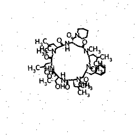 CC(C)C[C@H]1CN(C)[C@@H](Cc2ccccc2)C(=O)N(C)[C@@H](CC(C)C)C(=O)N[C@@H]([C@@H](C)O)C(=O)N[C@@H](CC(C)C)C(=O)N(C)[C@@H](CC(C)C)C(=O)N[C@H](C(=O)N2CCCCC2)CC(=O)N1C